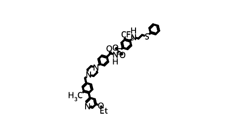 CCOc1cncc(-c2ccc(CN3CCN(c4ccc(C(=O)NS(=O)(=O)c5ccc(NCCSc6ccccc6)c(C(F)(F)F)c5)cc4)CC3)cc2C)c1